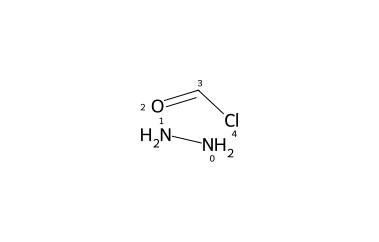 NN.O=CCl